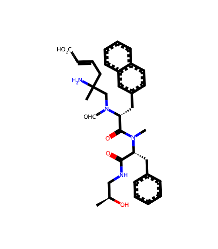 C[C@H](O)CNC(=O)[C@@H](Cc1ccccc1)N(C)C(=O)[C@@H](Cc1ccc2ccccc2c1)N(C=O)CC(C)(N)CC=CC(=O)O